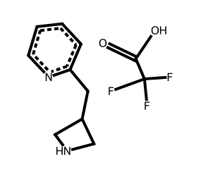 O=C(O)C(F)(F)F.c1ccc(CC2CNC2)nc1